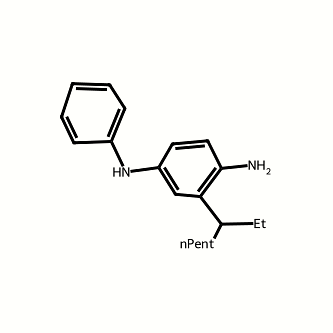 CCCCCC(CC)c1cc(Nc2ccccc2)ccc1N